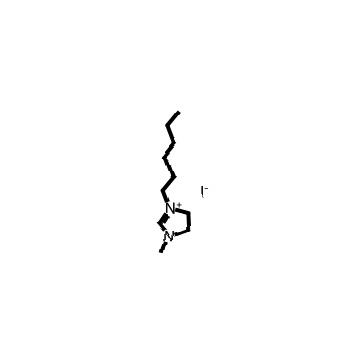 CCCCCC[N+]1=CN(C)CC1.[I-]